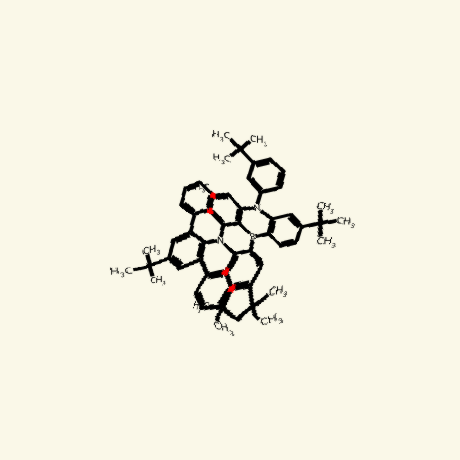 Cc1cc2c3c(c1)N(c1c(-c4ccccc4)cc(C(C)(C)C)cc1-c1ccccc1)c1cc4c(cc1B3c1ccc(C(C)(C)C)cc1N2c1cccc(C(C)(C)C)c1)C(C)(C)CC4(C)C